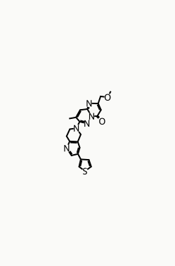 COCc1cc(=O)n2nc(N3CCc4ncc(-c5ccsc5)cc4C3)c(C)cc2n1